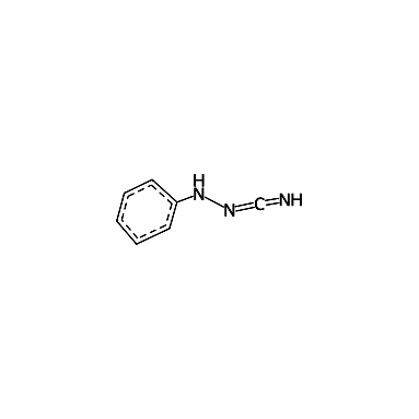 N=C=NNc1ccccc1